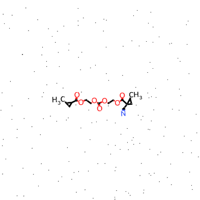 CC1CC1C(=O)OCCOC(=O)OCCOC(=O)C1(C#N)CC1C